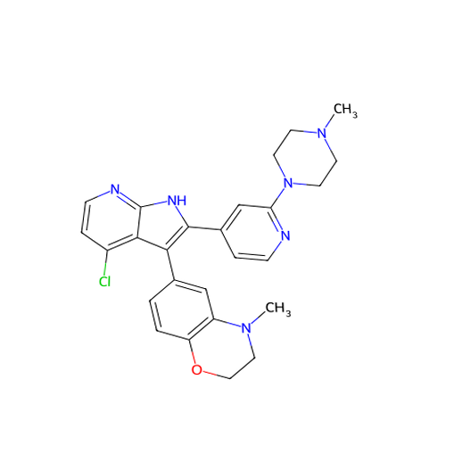 CN1CCN(c2cc(-c3[nH]c4nccc(Cl)c4c3-c3ccc4c(c3)N(C)CCO4)ccn2)CC1